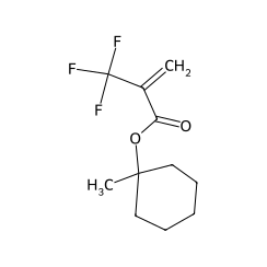 C=C(C(=O)OC1(C)CCCCC1)C(F)(F)F